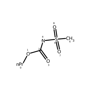 CCCOC(=O)[N]S(C)(=O)=O